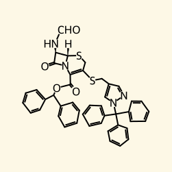 O=CN[C@@H]1C(=O)N2C(C(=O)OC(c3ccccc3)c3ccccc3)=C(SCc3cnn(C(c4ccccc4)(c4ccccc4)c4ccccc4)c3)CS[C@@H]12